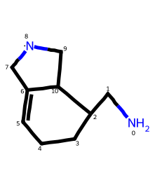 NCC1CCC=C2C[N]CC21